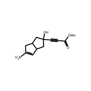 BC1=CC2CC(O)(C#CC(=O)OC)CC2C1